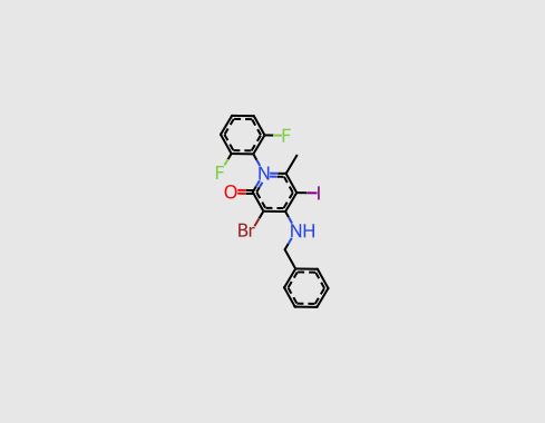 Cc1c(I)c(NCc2ccccc2)c(Br)c(=O)n1-c1c(F)cccc1F